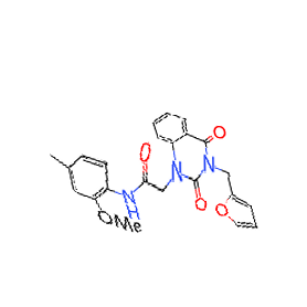 COc1cc(C)ccc1NC(=O)Cn1c(=O)n(Cc2ccco2)c(=O)c2ccccc21